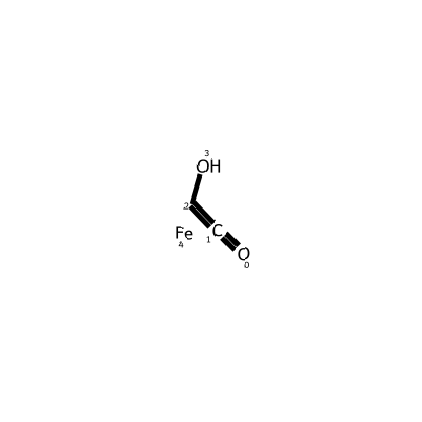 O=C=CO.[Fe]